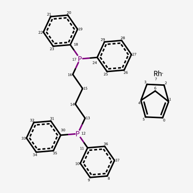 C1=C2CCC(=C1)C2.[Rh].c1ccc(P(CCCCP(c2ccccc2)c2ccccc2)c2ccccc2)cc1